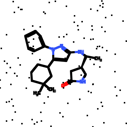 CC(Nc1cc(C2CCCC(C)(C)C2)n(-c2ccccc2)n1)[C@H]1CNC(=O)C1